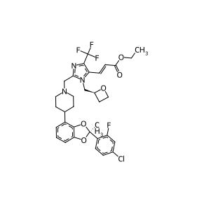 CCOC(=O)/C=C/c1c(C(F)(F)F)nc(CN2CCC(c3cccc4c3O[C@@](C)(c3ccc(Cl)cc3F)O4)CC2)n1C[C@@H]1CCO1